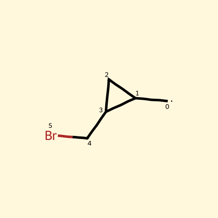 [CH2]C1CC1CBr